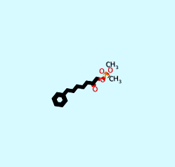 COP(C)(=O)OCC(=O)CCCCCc1ccccc1